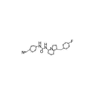 N#Cc1ccc(NC(=O)Nc2cccc3c(Cc4ccc(F)cc4)ccn23)cc1